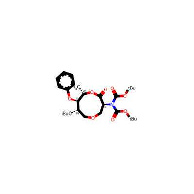 CC(C)CO[C@H]1COC[C@H](N(C(=O)OC(C)(C)C)C(=O)OC(C)(C)C)C(=O)O[C@@H](C)[C@@H]1Oc1ccccc1